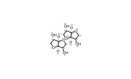 O[C@@H]1CO[C@H]2[C@@H]1OC[C@@H]2O.O[C@@H]1CO[C@H]2[C@@H]1OC[C@@H]2O